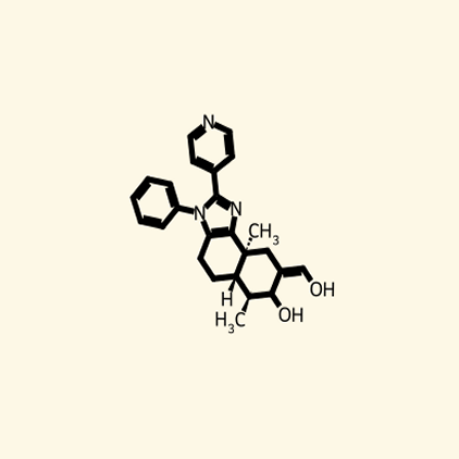 C[C@@H]1C(O)/C(=C\O)C[C@]2(C)c3nc(-c4ccncc4)n(-c4ccccc4)c3CC[C@@H]12